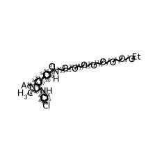 CCOCCOCCOCCOCCOCCOCCOCCOCCNC(=O)c1ccc(-c2ccc3c(c2)[C@H](Nc2ccc(Cl)cc2)C[C@H](C)N3C(C)=O)cc1